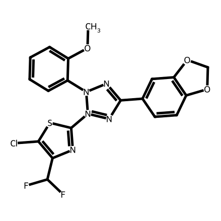 COc1ccccc1-n1nc(-c2ccc3c(c2)OCO3)n[n+]1-c1nc(C(F)F)c(Cl)s1